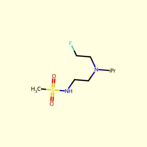 CC(C)N(CCF)CCNS(C)(=O)=O